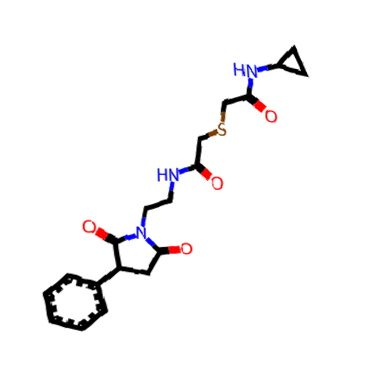 O=C(CSCC(=O)NC1CC1)NCCN1C(=O)CC(c2ccccc2)C1=O